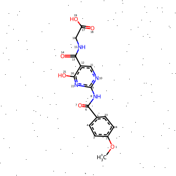 COc1ccc(C(=O)Nc2ncc(C(=O)NCC(=O)O)c(O)n2)cc1